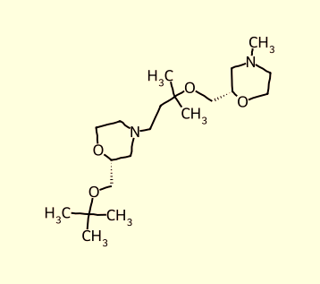 CN1CCO[C@H](COC(C)(C)CCN2CCO[C@@H](COC(C)(C)C)C2)C1